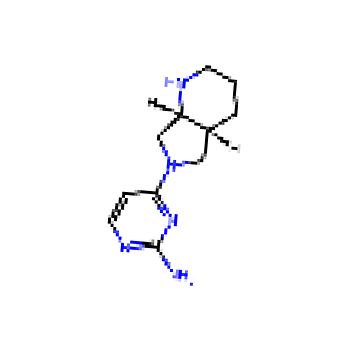 Nc1nccc(N2C[C@H]3CCCN[C@H]3C2)n1